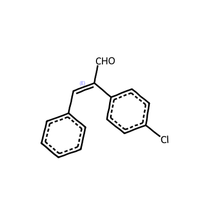 O=C/C(=C/c1ccccc1)c1ccc(Cl)cc1